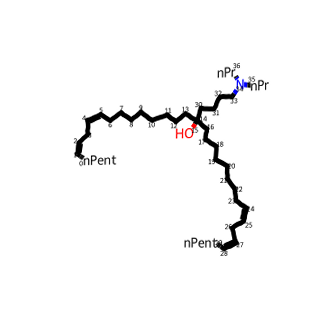 CCCCC/C=C\C/C=C\CCCCCCCCC(O)(CCCCCCCC/C=C\C/C=C\CCCCC)CCCCN(CCC)CCC